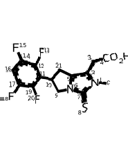 Cn1c(CC(=O)O)c2n(c1=S)CC(c1c(F)c(F)cc(F)c1F)C2